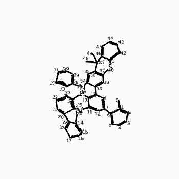 Cc1ccccc1-c1cc2c3c(c1)-n1c4ccccc4c4cccc(c41)B3N(c1ccccc1)c1cc3c(cc1-2)Sc1ccccc1C3(C)C